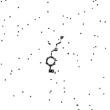 O=[N+]([O-])c1ccc(COCCBr)cc1